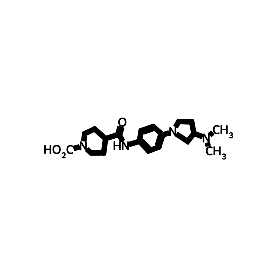 CN(C)C1CCN(c2ccc(NC(=O)C3CCN(C(=O)O)CC3)cc2)C1